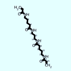 C=CC(=O)NCCCCC(=O)NCCCNC(=O)CCCCNC(=O)C=C